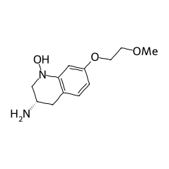 COCCOc1ccc2c(c1)N(O)C[C@@H](N)C2